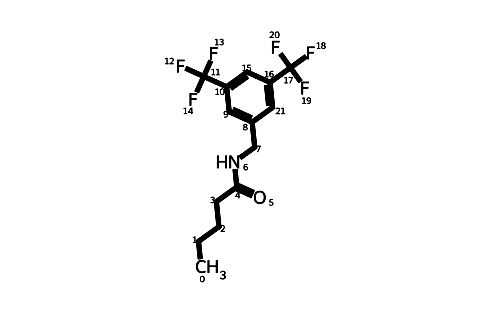 CCCCC(=O)NCc1cc(C(F)(F)F)cc(C(F)(F)F)c1